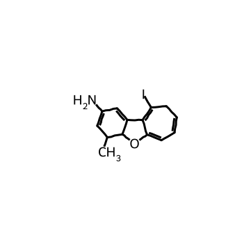 CC1C=C(N)C=C2C3=C(I)CC=CC=C3OC21